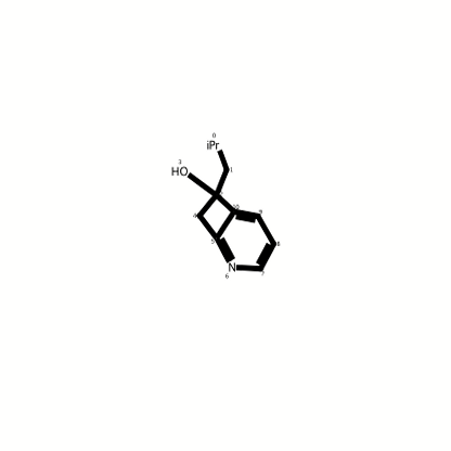 CC(C)CC1(O)Cc2ncccc21